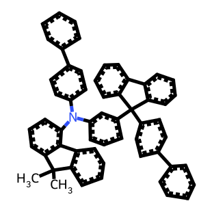 CC1(C)c2ccccc2-c2c(N(c3ccc(-c4ccccc4)cc3)c3cccc(C4(c5ccc(-c6ccccc6)cc5)c5ccccc5-c5ccccc54)c3)cccc21